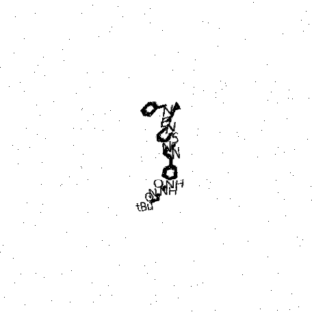 CC(C)(C)c1cc(NC(=O)Nc2ccc(-c3cn4c(n3)sc3nc(OCC5(NCc6ccccc6)CC5)ccc34)cc2)no1